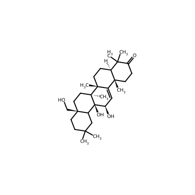 CC1(C)CC[C@]2(CO)CC[C@]3(C)[C@@](O)(C2C1)[C@H](O)C=C1[C@@]2(C)CCC(=O)C(C)(C)[C@@H]2CC[C@]13C